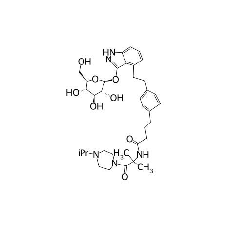 CC(C)N1CCN(C(=O)C(C)(C)NC(=O)CCCc2ccc(CCc3cccc4[nH]nc(O[C@@H]5O[C@H](CO)[C@@H](O)[C@H](O)[C@H]5O)c34)cc2)CC1